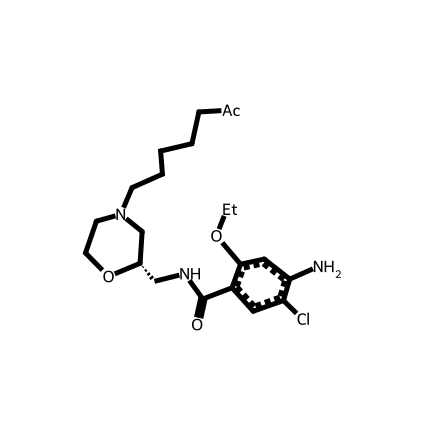 CCOc1cc(N)c(Cl)cc1C(=O)NC[C@H]1CN(CCCCCC(C)=O)CCO1